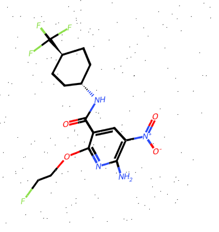 Nc1nc(OCCF)c(C(=O)N[C@H]2CC[C@H](C(F)(F)F)CC2)cc1[N+](=O)[O-]